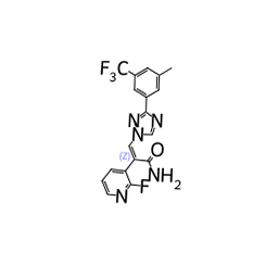 Cc1cc(-c2ncn(/C=C(\C(N)=O)c3cccnc3F)n2)cc(C(F)(F)F)c1